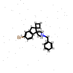 Brc1ccc2c(c1)CC1(CCC1)C21CCN(Cc2ccccc2)CC1